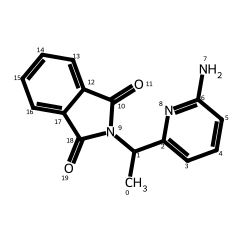 CC(c1cccc(N)n1)N1C(=O)c2ccccc2C1=O